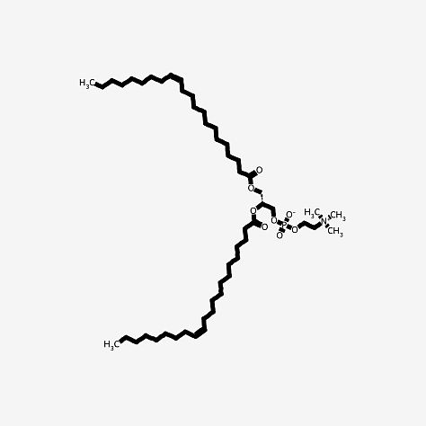 CCCCCCCC/C=C\CCCCCCCCCCCC(=O)OC[C@H](COP(=O)([O-])OCC[N+](C)(C)C)OC(=O)CCCCCCCCCCC/C=C\CCCCCCCC